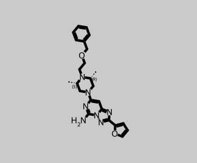 C[C@@H]1CN(c2cc3nc(-c4ccco4)nn3c(N)n2)C[C@H](C)N1CCOCc1ccccc1